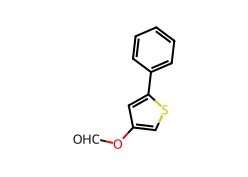 O=COc1csc(-c2ccccc2)c1